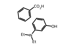 CCN(CC)c1cccc(O)c1.O=C(O)c1ccccc1